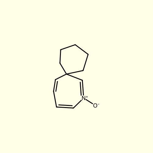 [O-][N+]1=CC2(C=CC=C1)CCCCC2